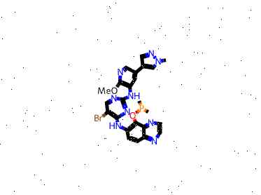 COc1ncc(-c2cnn(C)c2)cc1Nc1ncc(Br)c(Nc2ccc3nccnc3c2OP(C)C)n1